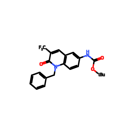 CC(C)(C)OC(=O)Nc1ccc2c(c1)cc(C(F)(F)F)c(=O)n2Cc1ccccc1